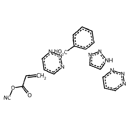 C=CC(=O)OC#N.O=C(O)c1ccccc1.c1c[nH]nn1.c1cnnnc1.c1cnnnc1